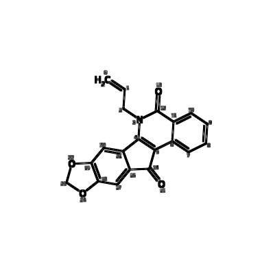 C=CCn1c2c(c3ccccc3c1=O)C(=O)c1cc3c(cc1-2)OCO3